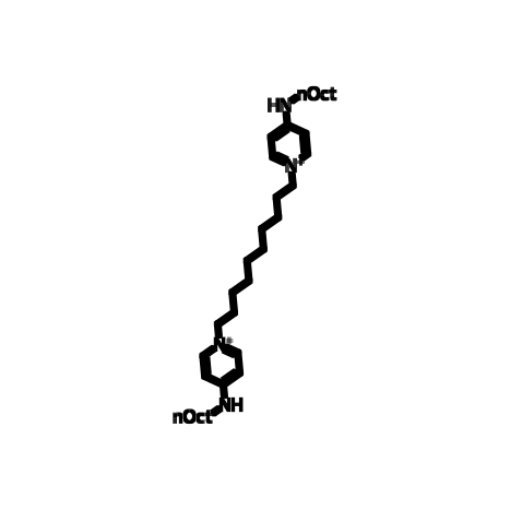 CCCCCCCCNc1cc[n+](CCCCCCCCCC[n+]2ccc(NCCCCCCCC)cc2)cc1